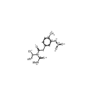 CCCC(CC)N(C(=O)Cc1ccc(C)c(N=S(=O)=O)c1)C(=S)NC